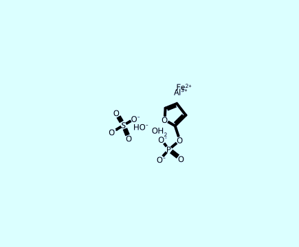 O.O=P([O-])([O-])Oc1ccco1.O=S(=O)([O-])[O-].[Al+3].[Fe+2].[OH-]